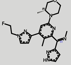 C/N=C(/c1cc[nH]n1)c1nc(N2CCOC[C@H]2C)cc(-c2ccn(CCF)n2)c1C